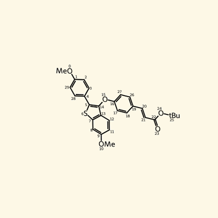 COc1ccc(-c2sc3cc(OC)ccc3c2Oc2ccc(C=CC(=O)OC(C)(C)C)cc2)cc1